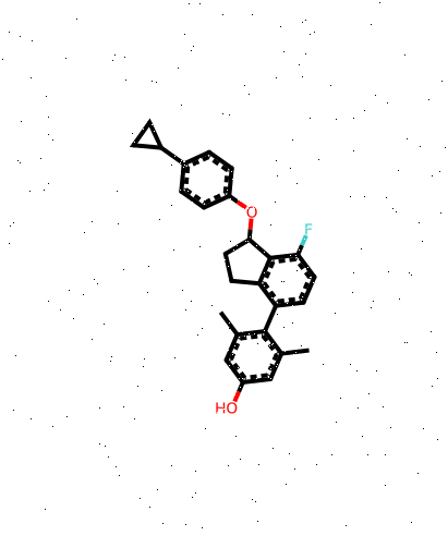 Cc1cc(O)cc(C)c1-c1ccc(F)c2c1CCC2Oc1ccc(C2CC2)cc1